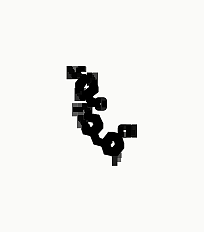 N#Cc1cc(F)cc(Cc2ccc(NC(=O)c3cnc(C#N)cn3)nc2)c1